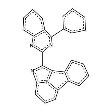 c1ccc(-c2nc(-c3nc4cccc5c6ccccc6c3n45)nc3ccccc23)cc1